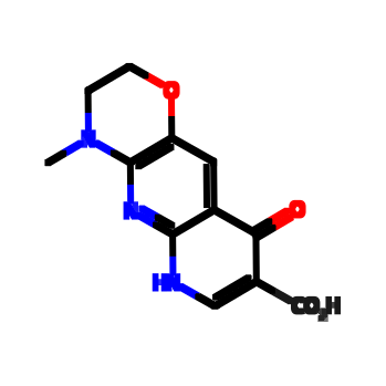 CN1CCOc2cc3c(=O)c(C(=O)O)c[nH]c3nc21